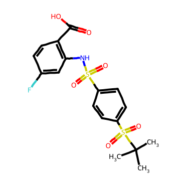 CC(C)(C)S(=O)(=O)c1ccc(S(=O)(=O)Nc2cc(F)ccc2C(=O)O)cc1